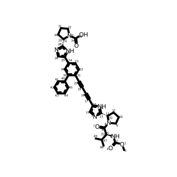 COC(=O)N[C@H](C(=O)N1CCC[C@H]1c1ncc(C#CC#Cc2ccc(-c3cnc([C@@H]4CCCN4C(=O)O)[nH]3)cc2-c2ccccc2)[nH]1)C(C)C